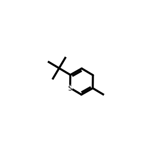 CC1=CSC(C(C)(C)C)=CC1